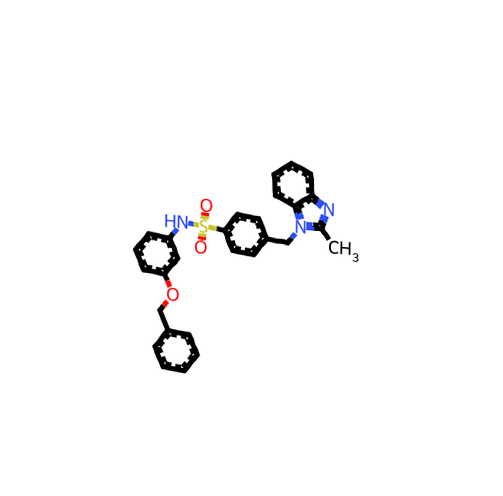 Cc1nc2ccccc2n1Cc1ccc(S(=O)(=O)Nc2cccc(OCc3ccccc3)c2)cc1